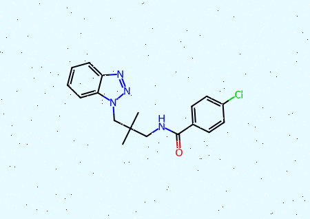 CC(C)(CNC(=O)c1ccc(Cl)cc1)Cn1nnc2ccccc21